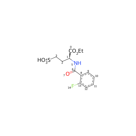 CCOC(=O)[C@H](CCS(=O)(=O)O)NC(=O)c1ccccc1F